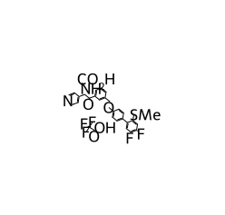 CSc1cc(F)c(F)cc1-c1ccc(OCc2cccc(C(=O)C(NCC(=O)O)c3ccncc3)c2)cc1.O=C(O)C(F)(F)F